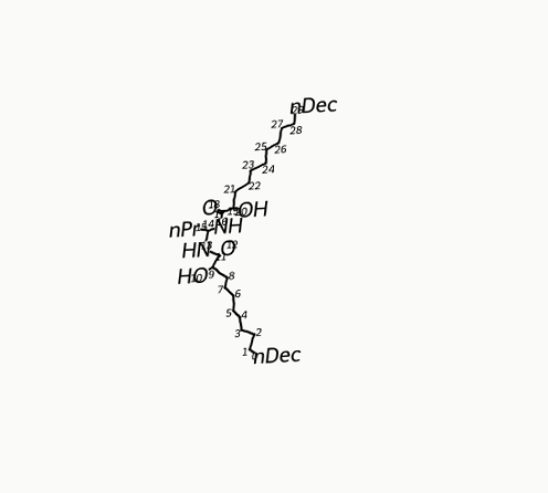 CCCCCCCCCCCCCCCCCCC(O)C(=O)NC(CCC)NC(=O)C(O)CCCCCCCCCCCCCCCCCC